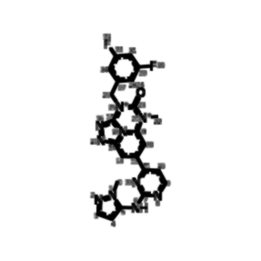 Cn1nccc1Nc1nccc(-c2cc3nnc4n3c(c2)[n+](C)c(=O)[n+]4Cc2cc(F)cc(F)c2)n1